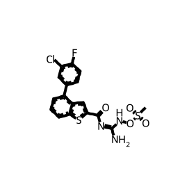 CS(=O)(=O)ONC(N)=NC(=O)c1cc2c(-c3ccc(F)c(Cl)c3)cccc2s1